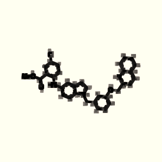 COC(=O)c1cc(Cl)ccc1Nc1ccc2c(ccn2Cc2cccc(OCc3ccc4ccccc4n3)c2)c1